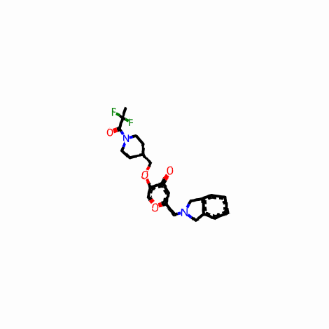 CC(F)(F)C(=O)N1CCC(COc2coc(CN3Cc4ccccc4C3)cc2=O)CC1